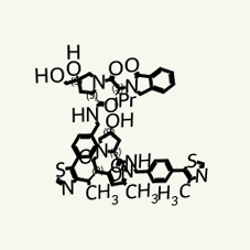 Cc1cc([C@H](C(=O)N2C[C@H](O)C[C@H]2C(=O)NCc2ccc(-c3scnc3C)cc2)C(C)c2ncsc2-c2ccc(CNC(=O)[C@@H]3C[C@@](O)(CO)CN3C(=O)[C@H](C(C)C)N3Cc4ccccc4C3=O)cc2)on1